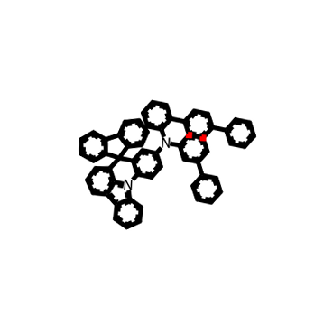 c1ccc(-c2ccc(-c3ccccc3N(c3cccc(-c4ccccc4)c3)c3ccc4c(c3)C3(c5ccccc5-c5ccccc53)c3cccc5c6ccccc6n-4c35)cc2)cc1